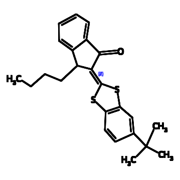 CCCCC1/C(=C2\Sc3ccc(C(C)(C)C)cc3S2)C(=O)c2ccccc21